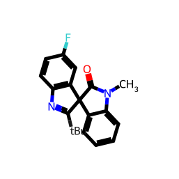 CN1C(=O)C2(C(C(C)(C)C)=Nc3ccc(F)cc32)c2ccccc21